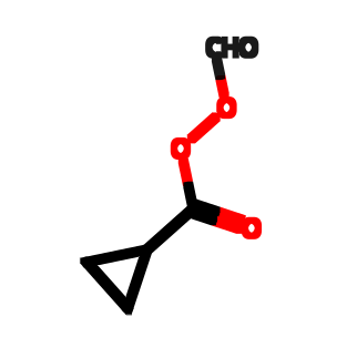 O=COOC(=O)C1CC1